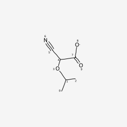 CC(C)OC(C#N)C([O])=O